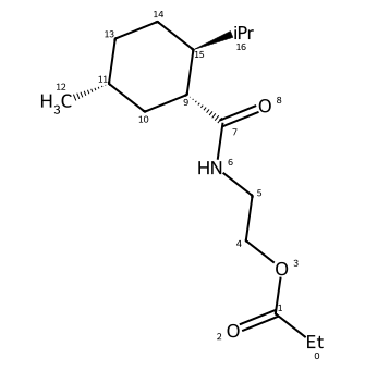 CCC(=O)OCCNC(=O)[C@@H]1C[C@H](C)CC[C@H]1C(C)C